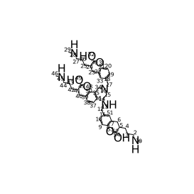 CNCCCC(Cc1cccc(CNCCN(Cc2cccc(CC(CCCNC)C(=O)O)c2)Cc2cccc(CC(CCCNC)C(=O)O)c2)c1)C(=O)O